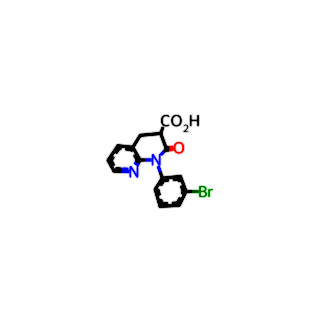 O=C(O)C1Cc2cccnc2N(c2cccc(Br)c2)C1=O